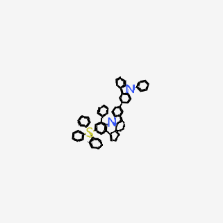 C1=CC23CC=Cc4c2n(c2ccc(-c5ccc6c(c5)c5ccccc5n6-c5ccccc5)cc42)-c2c(cc(S(c4ccccc4)(c4ccccc4)c4ccccc4)cc2-c2ccccc2)C3=C1